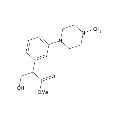 COC(=O)C(CO)c1cccc(N2CCN(C)CC2)c1